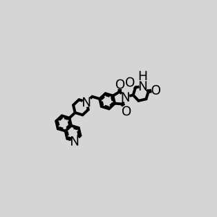 O=C1CCC(N2C(=O)c3ccc(CN4CCC(c5cccc6cnccc56)CC4)cc3C2=O)C(=O)N1